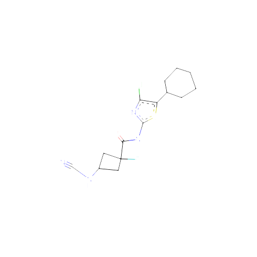 N#CNC1CC(F)(C(=O)Nc2nc(Cl)c(C3CCCCC3)s2)C1